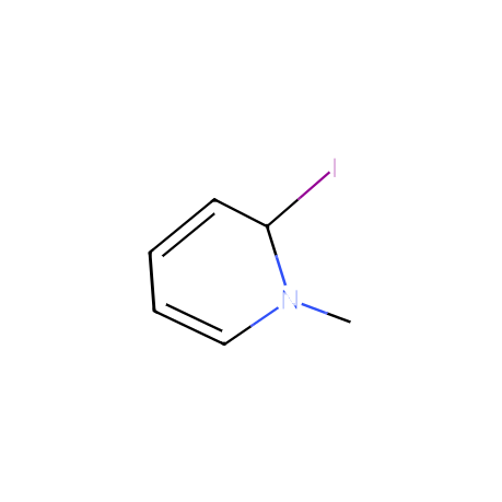 CN1C=CC=CC1I